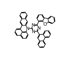 c1ccc2cc3c(cc2c1)-c1cccc2cccc(c12)N3c1nc(-c2cc3ccccc3c3ccccc23)nc(-c2cccc3c2oc2ccccc23)n1